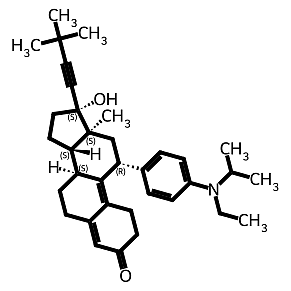 CCN(c1ccc([C@H]2C[C@@]3(C)[C@@H](CC[C@@]3(O)C#CC(C)(C)C)[C@@H]3CCC4=CC(=O)CCC4=C32)cc1)C(C)C